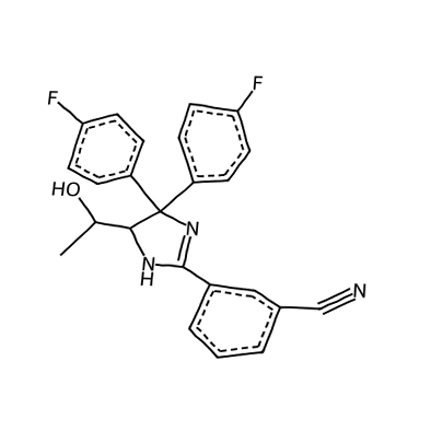 CC(O)C1NC(c2cccc(C#N)c2)=NC1(c1ccc(F)cc1)c1ccc(F)cc1